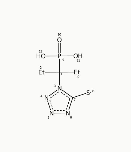 CCC(CC)(n1nnnc1[S])P(=O)(O)O